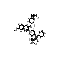 CN(C)NC(=O)N(C1CCCCC1)C1CCN(C(=O)C(Cc2ccc(Cl)cc2)N[C@H]2CC[C@@H](N)CC2)CC1